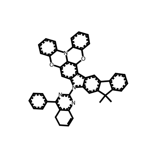 CC1(C)c2ccccc2-c2cc3c4c5c6c(cc4n(-c4nc7c(c(-c8ccccc8)n4)CCC=C7)c3cc21)Oc1ccccc1N6c1ccccc1O5